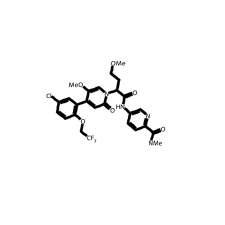 CNC(=O)c1ccc(NC(=O)C(CCOC)n2cc(OC)c(-c3cc(Cl)ccc3OCC(F)(F)F)cc2=O)cn1